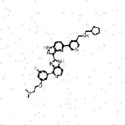 CN(C)CCOc1cc(F)cc(-c2nccc3[nH]c(-c4n[nH]c5ccc(-c6cncc(CNCC7CCCC7)c6)nc45)nc23)c1